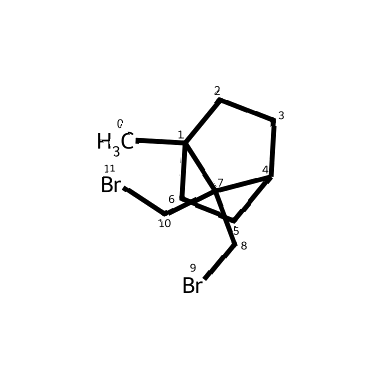 CC12CCC(CC1)C2(CBr)CBr